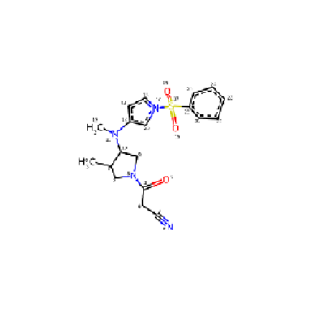 CC1CN(C(=O)CC#N)CC1N(C)c1ccn(S(=O)(=O)c2ccccc2)c1